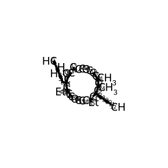 C#CC#CC#CCC1CC(C)CC(C)CCOCCCC(C)CC(C)CC(C#CC#CC#C)CC(CC)CCCOCCC(CC)C1